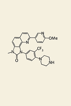 COc1ccc(-c2ccc3ccc4c(c3n2)n(-c2ccc(N3CCNCC3)c(C(F)(F)F)c2)c(=O)n4C)cn1